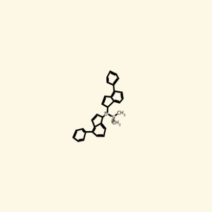 C[SiH](C)[Zr]([CH]1C=Cc2c(-c3ccccc3)cccc21)[CH]1C=Cc2c(-c3ccccc3)cccc21